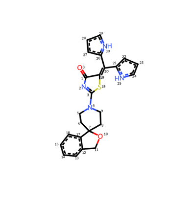 O=C1N=C(N2CCC3(CC2)OCc2ccccc23)SC1=C(c1ccc[nH]1)c1ccc[nH]1